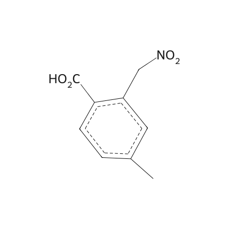 Cc1ccc(C(=O)O)c(C[N+](=O)[O-])c1